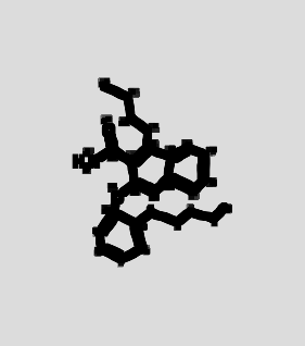 CCCCCc1ccccc1Oc1cc2ccccc2c(CCCC)c1C(N)=O